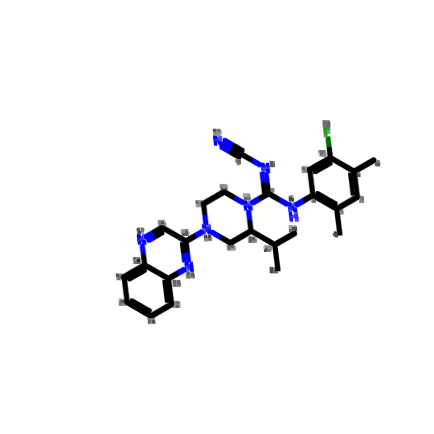 Cc1cc(C)c(N/C(=N/C#N)N2CCN(c3cnc4ccccc4n3)CC2C(C)C)cc1F